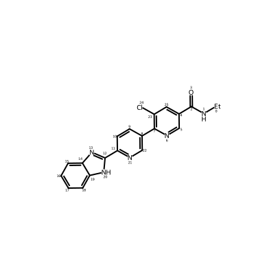 CCNC(=O)c1cnc(-c2ccc(-c3nc4ccccc4[nH]3)nc2)c(Cl)c1